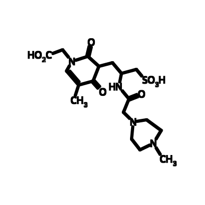 CC1=CN(CC(=O)O)C(=O)C(CC(CS(=O)(=O)O)NC(=O)CN2CCN(C)CC2)C1=O